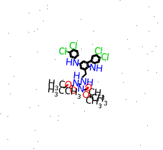 CC(C)(C)OC(=O)/N=C(\NCCc1cc(Nc2ccc(Cl)c(Cl)c2)cc2c1[nH]c1cc(Cl)c(Cl)cc12)NC(=O)OC(C)(C)C